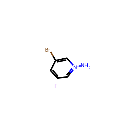 N[n+]1cccc(Br)c1.[I-]